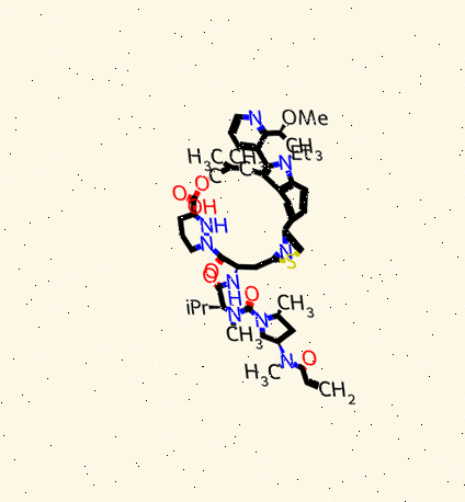 C=CC(=O)N(C)[C@@H]1C[C@H](C)N(C(=O)N(C)[C@H](C(=O)N[C@H]2Cc3nc(cs3)-c3ccc4c(c3)c(c(-c3cccnc3[C@H](C)OC)n4CC)CC(C)(C)COC(=O)[C@@]3(O)CCCN(N3)C2=O)C(C)C)C1